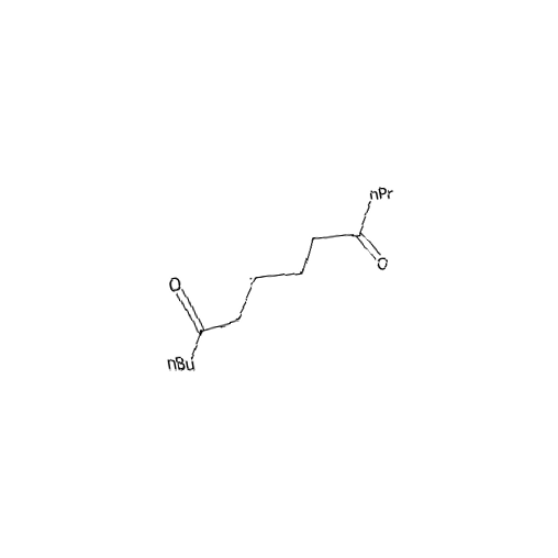 CCCCC(=O)C[CH]CCC(=O)CCC